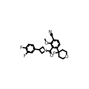 COc1c(C#N)ccc(C2(F)CCOCC2)c1C(=O)N1CC(c2ccc(F)c(F)c2)C1